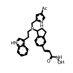 CC(=O)c1c[nH]c(CN(CCc2c[nH]c3ccccc23)C2CCc3cc(C=CC(=O)NO)ccc32)c1